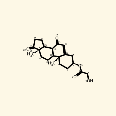 C[C@]12CC[C@H](OC(=O)CO)CC1=CC(=O)C1C2CC[C@]2(C)C(=O)CCC12